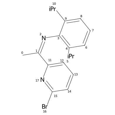 C/C(=N/c1c(C(C)C)cccc1C(C)C)c1cccc(Br)n1